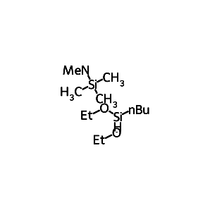 CCCC[SiH](OCC)OCC.CN[Si](C)(C)C